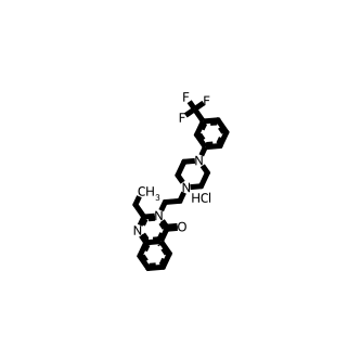 CCc1nc2ccccc2c(=O)n1CCN1CCN(c2cccc(C(F)(F)F)c2)CC1.Cl